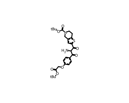 CC(C)(C)OC(=O)COc1ccc(C(=O)C(N)C(=O)c2cc3c(s2)CCN(C(=O)OC(C)(C)C)C3)cc1